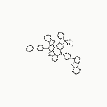 CC1(C)c2ccccc2-c2ccc(N(c3ccc(-c4cccc5c4sc4ccccc45)cc3)c3cccc4oc5c(-c6ccc(-c7ccccc7)cc6)c6c(cc5c34)oc3ccccc36)cc21